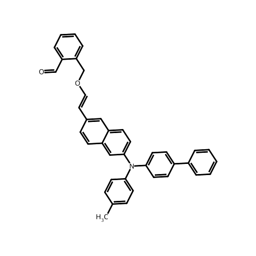 Cc1ccc(N(c2ccc(-c3ccccc3)cc2)c2ccc3cc(C=COCc4ccccc4C=O)ccc3c2)cc1